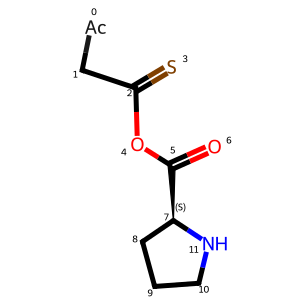 CC(=O)CC(=S)OC(=O)[C@@H]1CCCN1